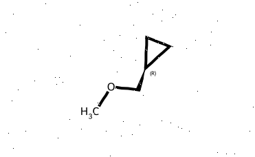 COC[C@@H]1[CH]C1